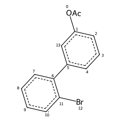 CC(=O)Oc1cccc(-c2ccc[c]c2Br)c1